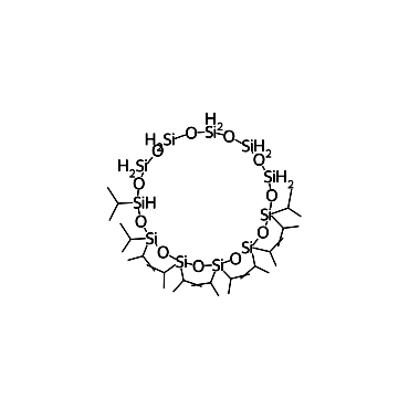 CC(C)[SiH]1O[SiH2]O[SiH2]O[SiH2]O[SiH2]O[SiH2]O[Si](C(C)C)(C(C)C)O[Si](C(C)C)(C(C)C)O[Si](C(C)C)(C(C)C)O[Si](C(C)C)(C(C)C)O[Si](C(C)C)(C(C)C)O1